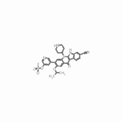 CC(C)Oc1cc2c(=O)c3c4ccc(C#N)cc4[nH]c3n(C3CCNCC3)c2cc1-c1cncc(OS(=O)(=O)F)c1